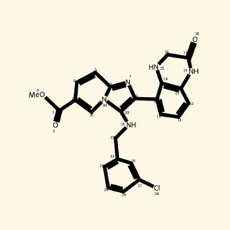 COC(=O)c1ccc2nc(-c3cccc4c3NCC(=O)N4)c(NCc3cccc(Cl)c3)n2c1